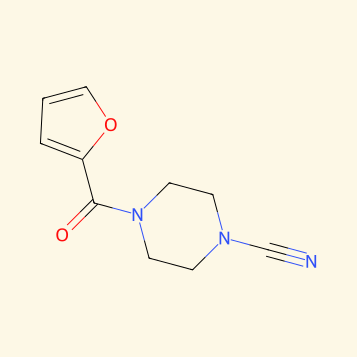 N#CN1CCN(C(=O)c2ccco2)CC1